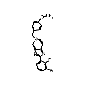 Fc1c(Br)cccc1-c1nc2ccn(Cc3ccc(OC(F)(F)F)cc3)cc-2n1